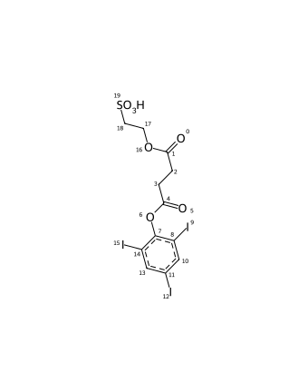 O=C(CCC(=O)Oc1c(I)cc(I)cc1I)OCCS(=O)(=O)O